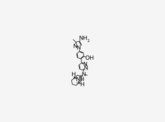 Cc1nn(-c2ccc(-c3ccc(N(C)[C@@H]4C[C@H]5CCC[C@@H](C4)N5)nn3)c(O)c2)cc1N